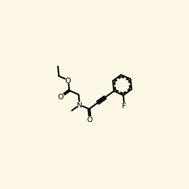 CCOC(=O)CN(C)C(=O)C#Cc1ccccc1F